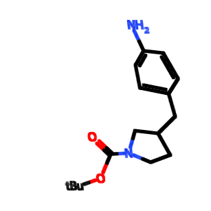 CC(C)(C)OC(=O)N1CCC(Cc2ccc(N)cc2)C1